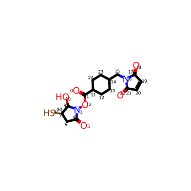 O=C(ON1C(=O)C[C@@H](S)C1O)C1CCC(CN2C(=O)C=CC2=O)CC1